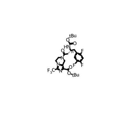 CC(C)(C)OC(=O)N[C@@H](CC(=O)N1CCn2c(C(F)(F)F)nc(C(=O)OC(C)(C)C)c2C1)Cc1cc(F)c(F)cc1F